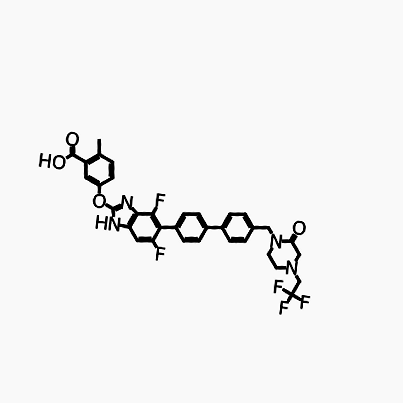 Cc1ccc(Oc2nc3c(F)c(-c4ccc(-c5ccc(CN6CCN(CC(F)(F)F)CC6=O)cc5)cc4)c(F)cc3[nH]2)cc1C(=O)O